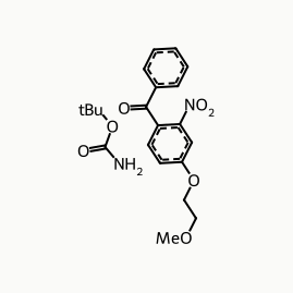 CC(C)(C)OC(N)=O.COCCOc1ccc(C(=O)c2ccccc2)c([N+](=O)[O-])c1